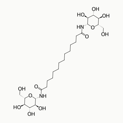 O=C(CCCCCCCCCCCCC(=O)N[C@H]1O[C@@H](CO)[C@H](O)[C@@H](O)[C@@H]1O)N[C@H]1O[C@@H](CO)[C@H](O)[C@@H](O)[C@@H]1O